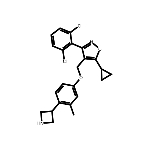 Cc1cc(OCc2c(-c3c(Cl)cccc3Cl)noc2C2CC2)ccc1C1CNC1